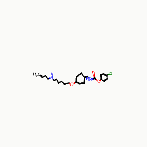 C=CCCNCCCCCCOC1CCC(CNC(=O)Oc2ccc(Cl)cc2)CC1